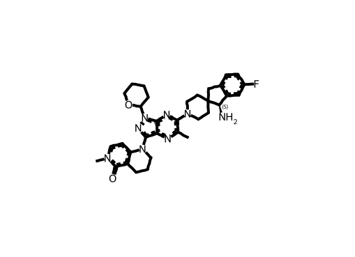 Cc1nc2c(N3CCCc4c3ccn(C)c4=O)nn(C3CCCCO3)c2nc1N1CCC2(CC1)Cc1ccc(F)cc1[C@H]2N